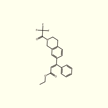 CCOC(=O)C=C(c1ccccc1)c1ccc2c(c1)CN(C(=O)C(F)(F)F)CC2